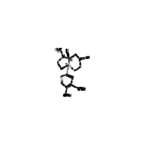 COc1ccc([C@@]23CCC(=O)C[C@H]2N(C)CC3)cc1OC